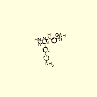 CNS(=O)(=O)c1cccc(Nc2nc(-c3ccc(N4CCC(N)CC4)nc3)c3nc[nH]c3n2)c1